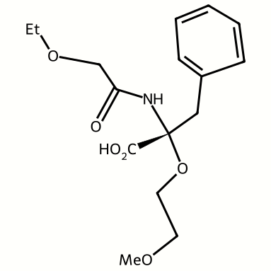 CCOCC(=O)N[C@](Cc1ccccc1)(OCCOC)C(=O)O